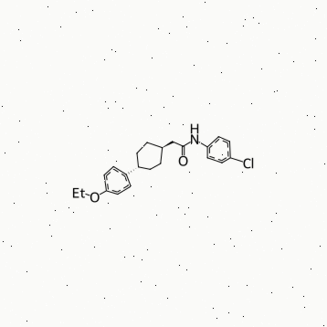 CCOc1ccc([C@H]2CC[C@H](CC(=O)Nc3ccc(Cl)cc3)CC2)cc1